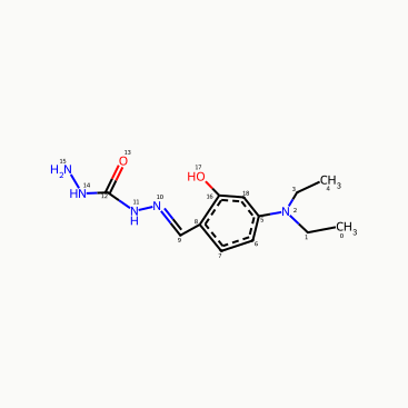 CCN(CC)c1ccc(C=NNC(=O)NN)c(O)c1